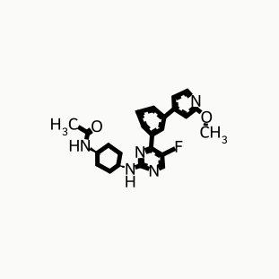 COc1cc(-c2cccc(-c3nc(N[C@H]4CC[C@H](NC(C)=O)CC4)ncc3F)c2)ccn1